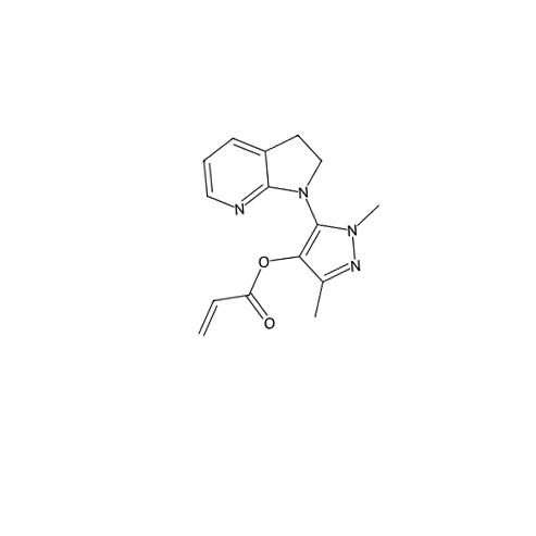 C=CC(=O)Oc1c(C)nn(C)c1N1CCc2cccnc21